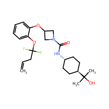 C=CCC(F)(F)Oc1ccccc1OC1CN(C(=O)N[C@H]2CC[C@H](C(C)(C)O)CC2)C1